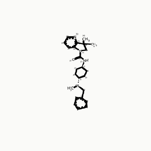 CN(Cc1ccccc1)[C@H]1CC[C@H](NC(=O)N2CC(C)(C)c3ncccc32)CC1